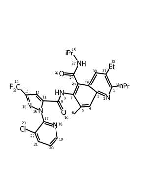 CCCc1nc2cc(C)c(NC(=O)c3cc(C(F)(F)F)nn3-c3ncccc3Cl)c(C(=O)NC(C)C)c2cc1CC